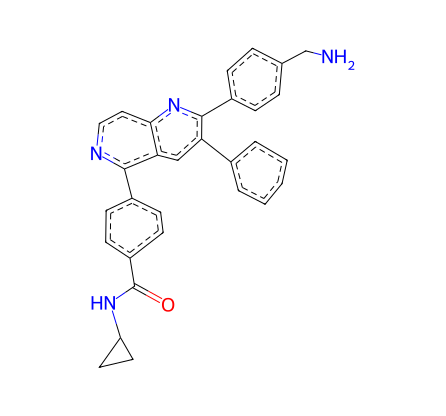 NCc1ccc(-c2nc3ccnc(-c4ccc(C(=O)NC5CC5)cc4)c3cc2-c2ccccc2)cc1